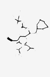 C#CC[C@H](O)[C@H](O[Si](C(C)C)(C(C)C)C(C)C)[C@H](CC1CCCCC1)NC(=O)OC(C)(C)C